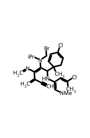 C#CC(=C)/C(N=C)=C(\C(NC(/C=C(\C)Cl)=C/NC)C1(C)C=CC(Cl)=CC1)N(CBr)C(C)C